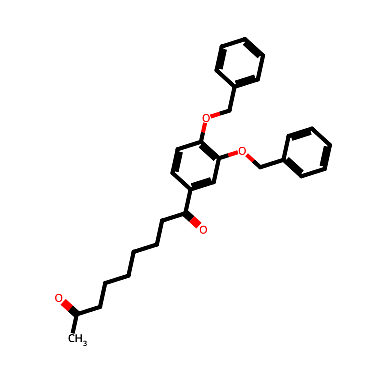 CC(=O)CCCCCCC(=O)c1ccc(OCc2ccccc2)c(OCc2ccccc2)c1